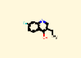 [CH2]Cc1cnc2cc(F)ccc2c1O